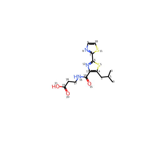 CC(C)Cc1sc(-c2nccs2)nc1C(=O)NCCC(=O)O